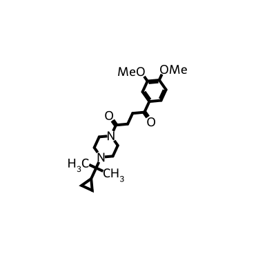 COc1ccc(C(=O)CCC(=O)N2CCN(C(C)(C)C3CC3)CC2)cc1OC